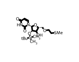 CSCCOC[C@H]1O[C@@H](n2ccc(=O)[nH]c2=O)[C@H](O[Si](C)(C)C(C)(C)C)C1O